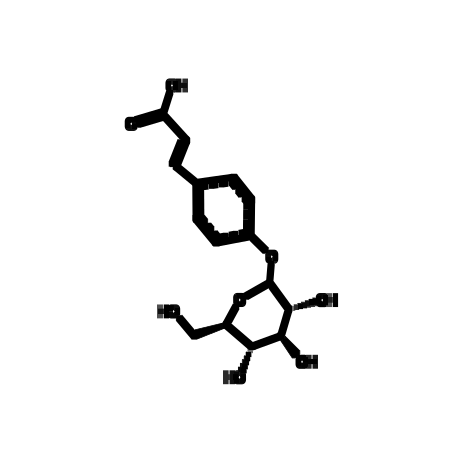 O=C(O)C=Cc1ccc(OC2O[C@H](CO)[C@@H](O)[C@H](O)[C@H]2O)cc1